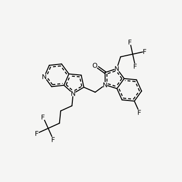 O=c1n(Cc2cc3ccncc3n2CCCC(F)(F)F)c2cc(F)ccc2n1CC(F)(F)F